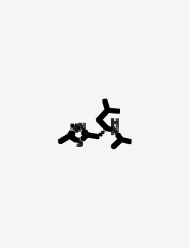 Cc1nnc(C[C@H](CC(C)C)NC(C)C)s1